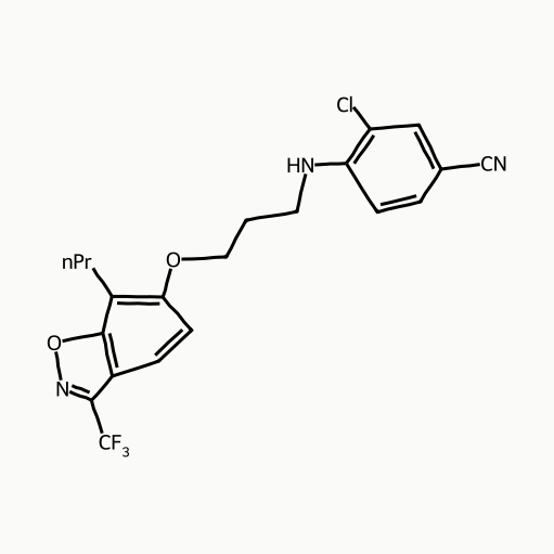 CCCc1c(OCCCNc2ccc(C#N)cc2Cl)ccc2c(C(F)(F)F)noc12